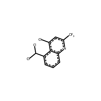 FC(F)(F)c1cc(Cl)c2c(C(Cl)Cl)cccc2n1